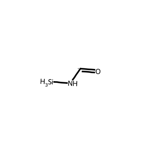 O=[C]N[SiH3]